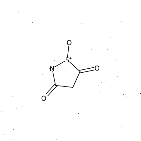 O=C1CC(=O)[S+]([O-])[N]1